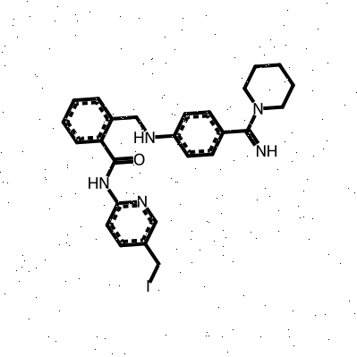 N=C(c1ccc(NCc2ccccc2C(=O)Nc2ccc(CI)cn2)cc1)N1CCCCC1